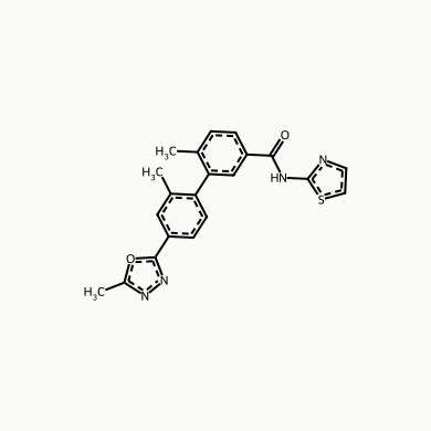 Cc1nnc(-c2ccc(-c3cc(C(=O)Nc4nccs4)ccc3C)c(C)c2)o1